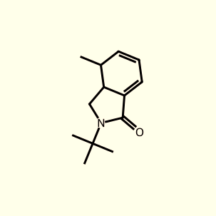 CC1C=CC=C2C(=O)N(C(C)(C)C)CC21